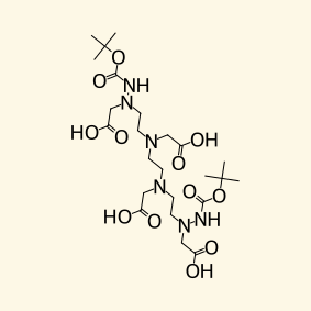 CC(C)(C)OC(=O)NN(CCN(CCN(CCN(CC(=O)O)NC(=O)OC(C)(C)C)CC(=O)O)CC(=O)O)CC(=O)O